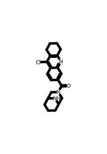 O=C(c1ccc2c(Cl)c3c(nc2c1)CCCC3)N1CC2CCCC(C1)N2